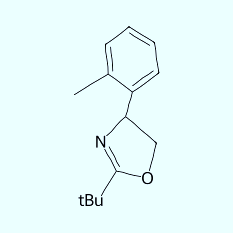 Cc1ccccc1C1COC(C(C)(C)C)=N1